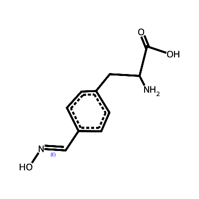 NC(Cc1ccc(/C=N/O)cc1)C(=O)O